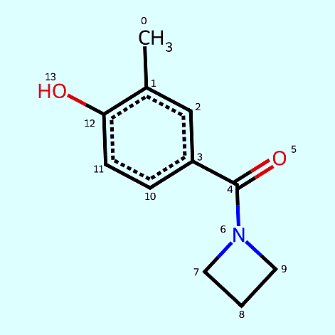 Cc1cc(C(=O)N2CCC2)ccc1O